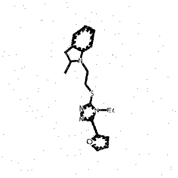 CCn1c(SCCN2c3ccccc3CC2C)nnc1-c1ccco1